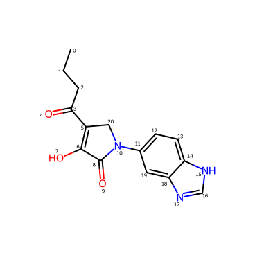 CCCC(=O)C1=C(O)C(=O)N(c2ccc3[nH]cnc3c2)C1